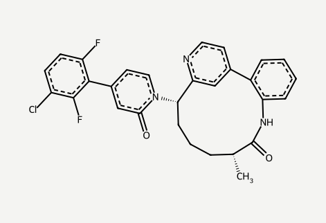 C[C@@H]1CCC[C@H](n2ccc(-c3c(F)ccc(Cl)c3F)cc2=O)c2cc(ccn2)-c2ccccc2NC1=O